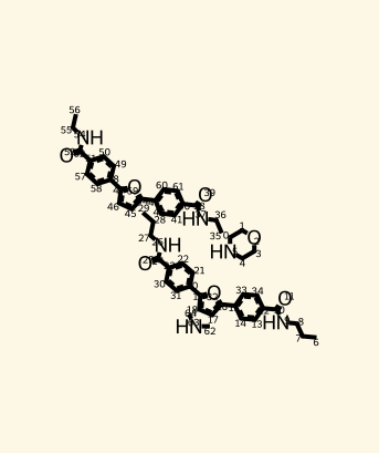 C1COCCN1.CCCNC(=O)c1ccc(-c2ccc(-c3ccc(C(=O)NCCC)cc3)o2)cc1.CCNC(=O)c1ccc(-c2ccc(-c3ccc(C(=O)NCC)cc3)o2)cc1.CNC